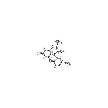 CCOC(=O)Sc1cc(C#N)ccc1Oc1cc(Cl)cc(Cl)c1